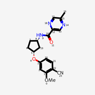 COc1cc(O[C@@H]2CC[C@H](NC(=O)c3cnc(C)cn3)C2)ccc1C#N